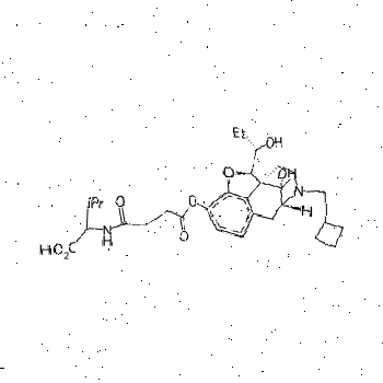 CC[C@H](O)[C@@H]1Oc2c(OC(=O)CCC(=O)NC(C(=O)O)C(C)C)ccc3c2[C@@]12CCN(CC1CCC1)[C@H](C3)C2(C)O